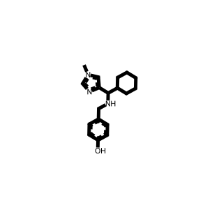 Cn1cnc(C(NCc2ccc(O)cc2)C2CCCCC2)c1